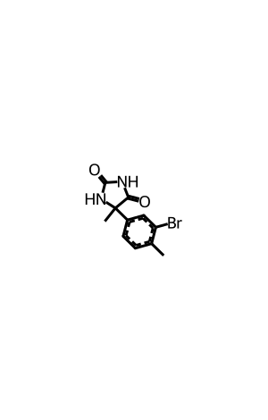 Cc1ccc(C2(C)NC(=O)NC2=O)cc1Br